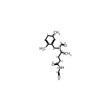 CC1=CCC(C)C=C1CN(C=O)C(C)CCC(=O)NC=O